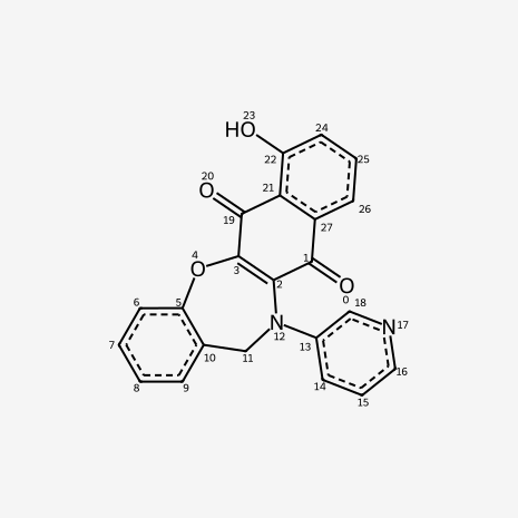 O=C1C2=C(Oc3ccccc3CN2c2cccnc2)C(=O)c2c(O)cccc21